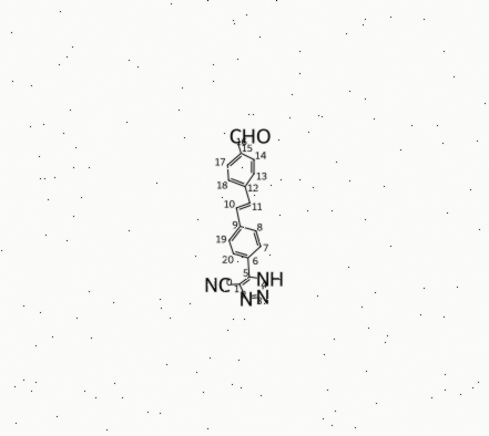 N#Cc1nn[nH]c1-c1ccc(C=Cc2ccc(C=O)cc2)cc1